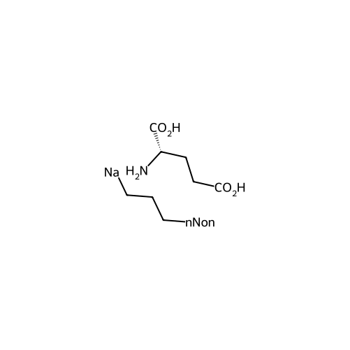 CCCCCCCCCCC[CH2][Na].N[C@@H](CCC(=O)O)C(=O)O